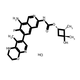 Cc1c(-c2cc3cc(NC(=O)O[C@H]4C[C@@](C)(O)[C@H]4C)ncc3c(N)c2F)cnc2c1NCCO2.Cl